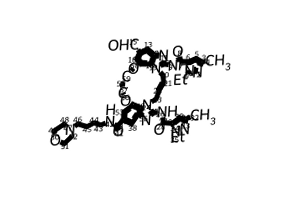 CCn1nc(C)cc1C(=O)Nc1nc2cc(C=O)cc3c2n1C/C=C/Cn1c(NC(=O)c2cc(C)nn2CC)nc2cc(C(=O)NCCCCN4CCOCC4)cc(c21)OCCCO3